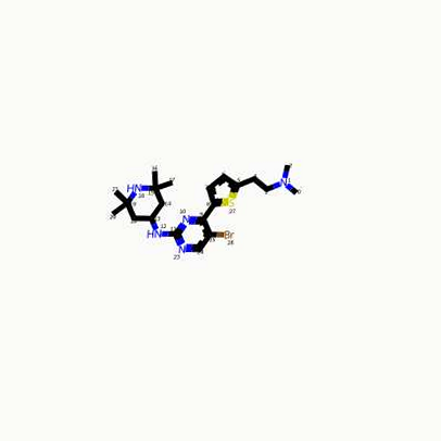 CN(C)CCc1ccc(-c2nc(NC3CC(C)(C)NC(C)(C)C3)ncc2Br)s1